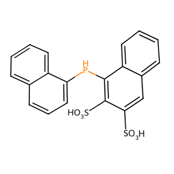 O=S(=O)(O)c1cc2ccccc2c(Pc2cccc3ccccc23)c1S(=O)(=O)O